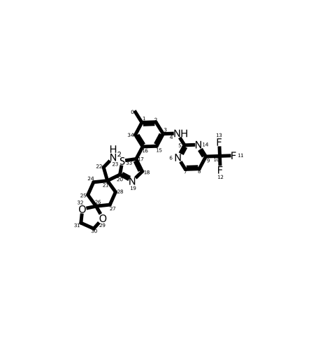 Cc1cc(Nc2nccc(C(F)(F)F)n2)cc(-c2cnc(C3(CN)CCC4(CC3)OCCO4)s2)c1